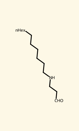 CCCCCCCCCCCCNCCC=O